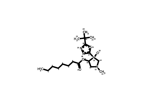 CCCCCCCC(=O)OC1CN(C)C[N+]1([O-])c1nnc(C(C)(C)C)s1